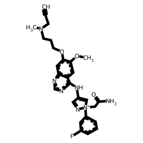 C#CCN(C)CCCOc1cc2ncnc(NC3=C[N+](CC(N)=O)(c4cccc(F)c4)N=C3)c2cc1OC